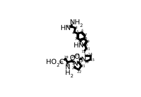 N=C(N)CCc1ccc2cc(CC[C@@H]3CCCN3C(=O)[C@H]3CCCN3C(=O)[C@@H](N)CC(=O)O)[nH]c2c1